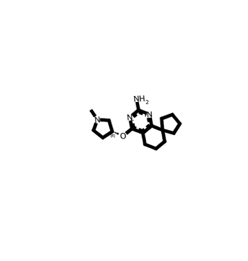 CN1CC[C@@H](Oc2nc(N)nc3c2CCCC32CCCC2)C1